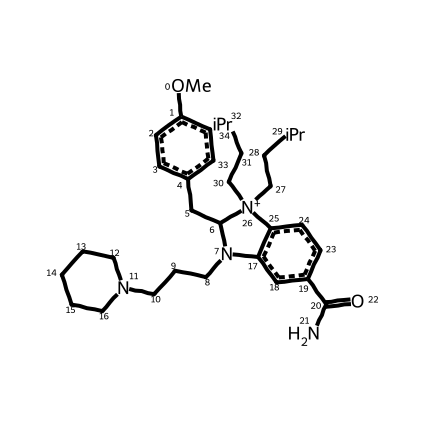 COc1ccc(CC2N(CCCN3CCCCC3)c3cc(C(N)=O)ccc3[N+]2(CCC(C)C)CCC(C)C)cc1